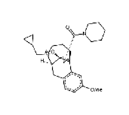 COc1ccc2c(c1)[C@]13CCCN(CC4CC4)[C@H](C2)[C@]1(OC(C)=O)C[C@@H](C(=O)N1CCCCC1)C3